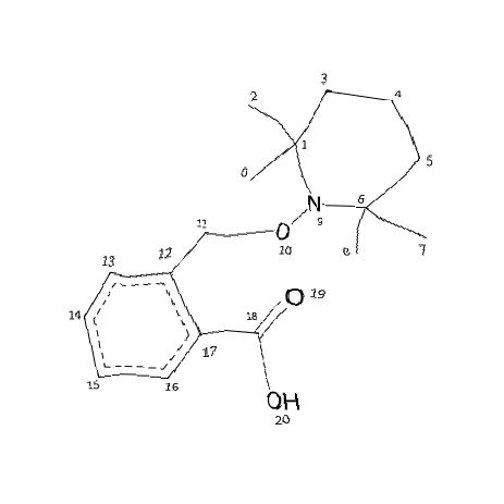 CC1(C)CCCC(C)(C)N1OCc1ccccc1C(=O)O